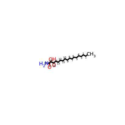 CCCCCCCCCCCCCCCC(=O)C(O)C(N)=O